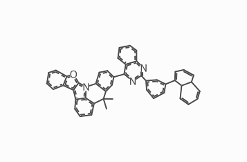 CC1(C)c2cc(-c3nc(-c4cccc(C5=CC=CC6C=CC=CC56)c4)nc4ccccc34)ccc2-n2c3oc4ccccc4c3c3cccc1c32